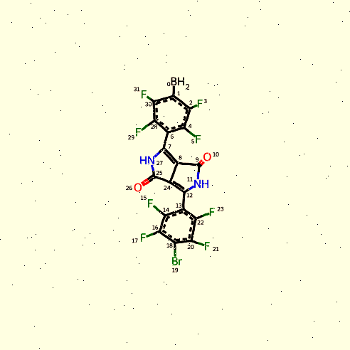 Bc1c(F)c(F)c(C2=C3C(=O)NC(c4c(F)c(F)c(Br)c(F)c4F)=C3C(=O)N2)c(F)c1F